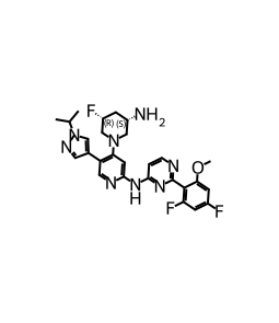 COc1cc(F)cc(F)c1-c1nccc(Nc2cc(N3C[C@@H](N)C[C@@H](F)C3)c(-c3cnn(C(C)C)c3)cn2)n1